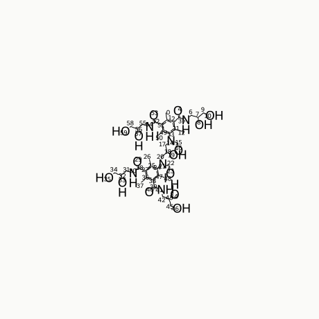 Cc1c(C(=O)NCC(O)CO)c(C)c(N(C=O)CC(O)CN(C=O)c2c(C)c(C(=O)NCC(O)CO)c(C)c(C(=O)NCC(O)CO)c2I)c(I)c1C(=O)NCC(O)CO